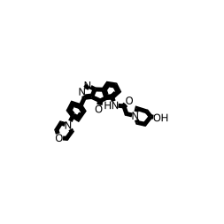 O=C(CN1CCC(O)CC1)Nc1cccc2c1C(=O)C1=C(c3ccc(N4CCOCC4)cc3)N=NC12